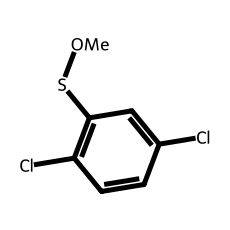 COSc1cc(Cl)ccc1Cl